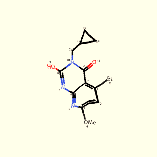 CCc1cc(OC)nc2nc(O)n(CC3CC3)c(=O)c12